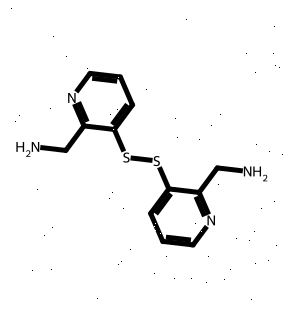 NCc1ncccc1SSc1cccnc1CN